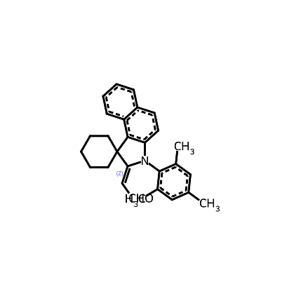 Cc1cc(C)c(N2/C(=C\C=O)C3(CCCCC3)c3c2ccc2ccccc32)c(C)c1